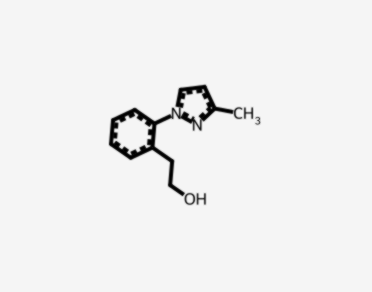 Cc1ccn(-c2ccccc2CCO)n1